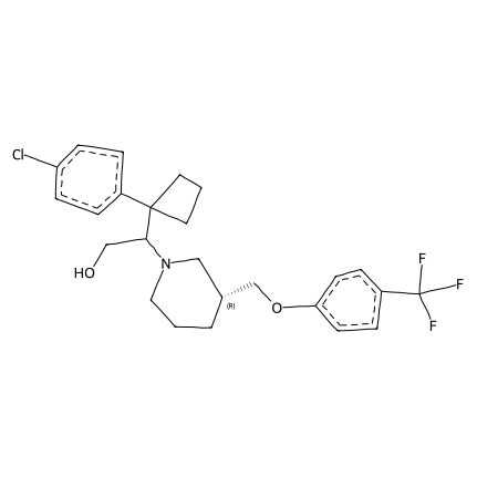 OCC(N1CCC[C@@H](COc2ccc(C(F)(F)F)cc2)C1)C1(c2ccc(Cl)cc2)CCC1